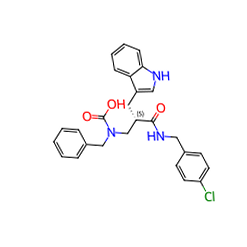 O=C(NCc1ccc(Cl)cc1)[C@@H](Cc1c[nH]c2ccccc12)CN(Cc1ccccc1)C(=O)O